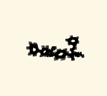 NC1(CCc2ccccc2)CC1c1ccc(NC(=O)c2ccc(-c3ccccc3)cc2)cc1